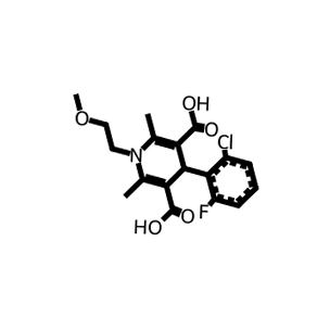 COCCN1C(C)=C(C(=O)O)C(c2c(F)cccc2Cl)C(C(=O)O)=C1C